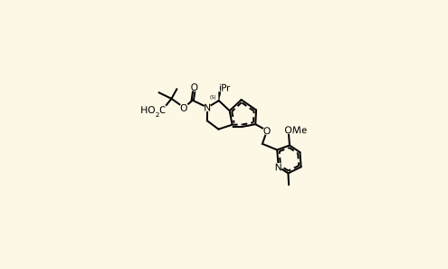 COc1ccc(C)nc1COc1ccc2c(c1)CCN(C(=O)OC(C)(C)C(=O)O)[C@H]2C(C)C